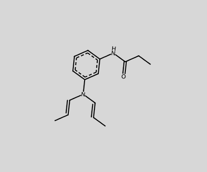 CC=CN(C=CC)c1cccc(NC(=O)CC)c1